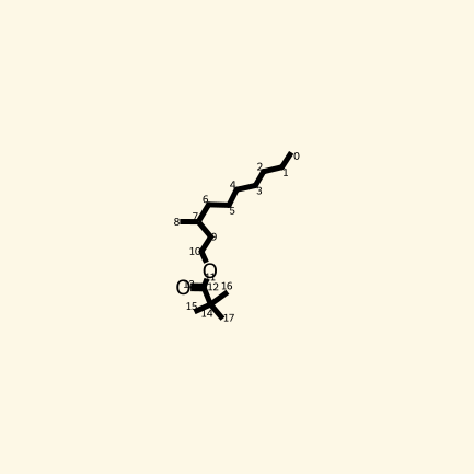 CCCCCCCC(C)CCOC(=O)C(C)(C)C